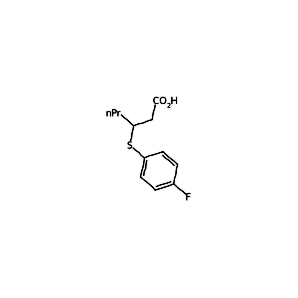 CCCC(CC(=O)O)Sc1ccc(F)cc1